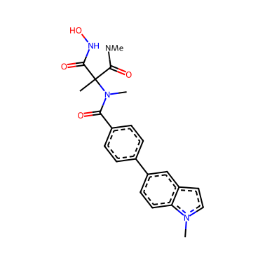 CNC(=O)C(C)(C(=O)NO)N(C)C(=O)c1ccc(-c2ccc3c(ccn3C)c2)cc1